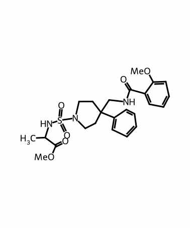 COC(=O)C(C)NS(=O)(=O)N1CCC(CNC(=O)c2ccccc2OC)(c2ccccc2)CC1